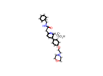 CS(=O)(=O)O.O=C(Cc1ccc(-c2ccc(OCCN3CCOCC3)cc2)cn1)NCc1ccccc1